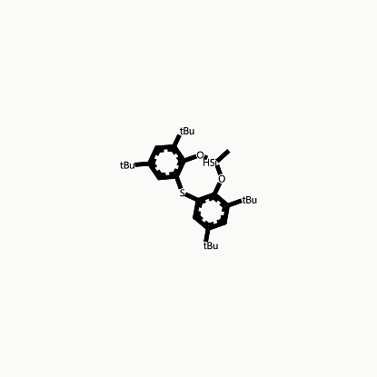 C[SiH]1Oc2c(cc(C(C)(C)C)cc2C(C)(C)C)Sc2cc(C(C)(C)C)cc(C(C)(C)C)c2O1